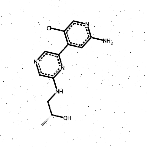 C[C@@H](O)CNc1cncc(-c2cc(N)ncc2Cl)n1